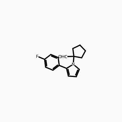 O=CC1(n2cccc2-c2ccc(F)cc2)CCCC1